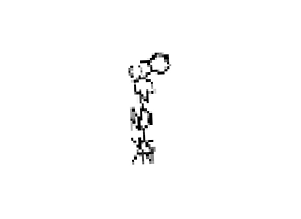 Cc1nsc(-c2ccc(N3CCC4(CC3)OCc3ccccc34)nn2)n1